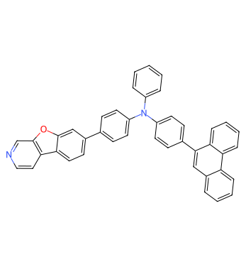 c1ccc(N(c2ccc(-c3ccc4c(c3)oc3cnccc34)cc2)c2ccc(-c3cc4ccccc4c4ccccc34)cc2)cc1